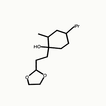 CC(C)C1CCC(O)(CCC2OCCO2)C(C)C1